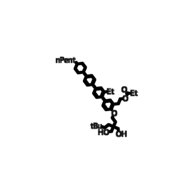 CCCCCC1CCC(c2ccc(-c3ccc(-c4ccc(OCCC(CO)(CO)CCC(C)(C)C)c(CCOC(=O)CC)c4)c(CC)c3)cc2)CC1